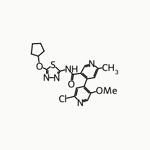 COc1cnc(Cl)cc1-c1cc(C)ncc1C(=O)Nc1nnc(OC2CCCC2)s1